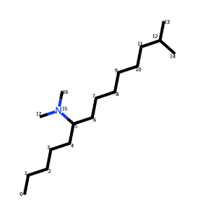 CCCCCC(CCCCCCC(C)C)N(C)C